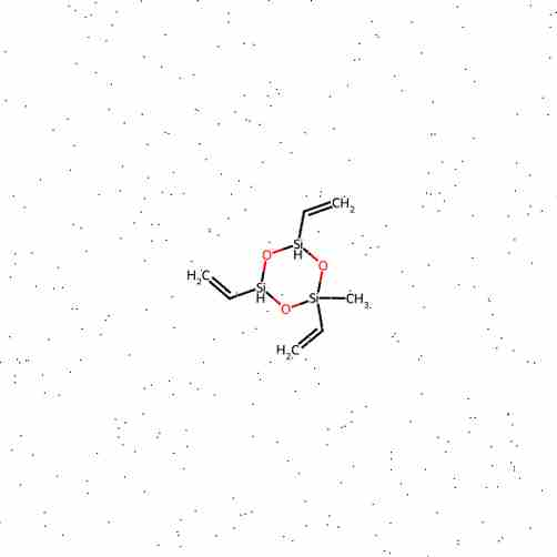 C=C[SiH]1O[SiH](C=C)O[Si](C)(C=C)O1